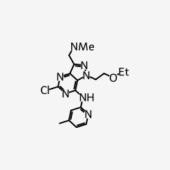 CCOCCn1nc(CNC)c2nc(Cl)nc(Nc3cc(C)ccn3)c21